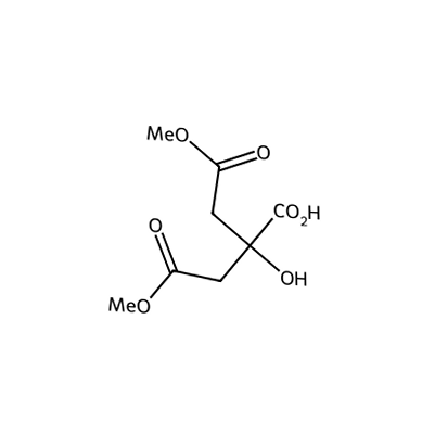 COC(=O)CC(O)(CC(=O)OC)C(=O)O